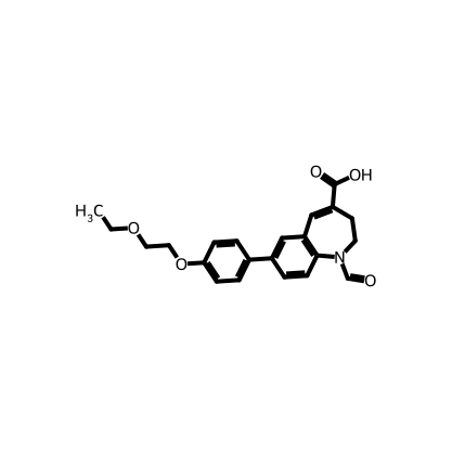 CCOCCOc1ccc(-c2ccc3c(c2)C=C(C(=O)O)CCN3C=O)cc1